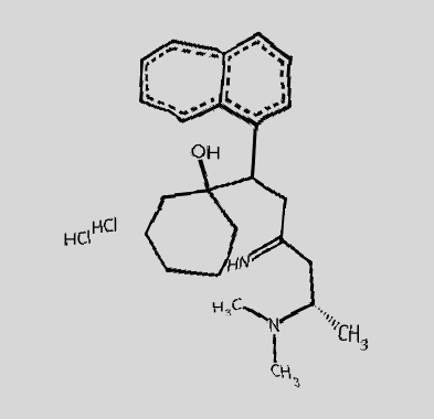 C[C@@H](CC(=N)CC(c1cccc2ccccc12)C1(O)CCCCC1)N(C)C.Cl.Cl